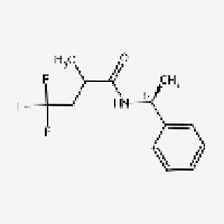 CC(CC(F)(F)F)C(=O)N[C@@H](C)c1ccccc1